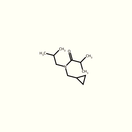 CC(C)CN(CC1CC1)C(=O)C(C)C